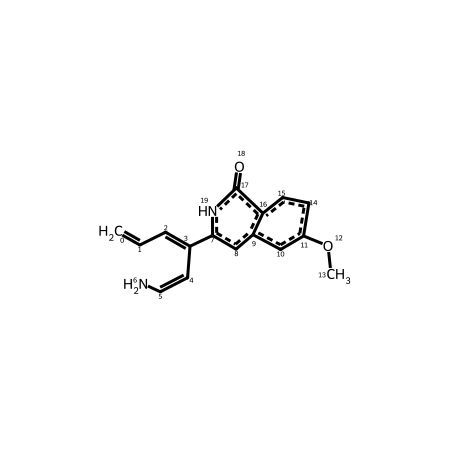 C=C/C=C(\C=C/N)c1cc2cc(OC)ccc2c(=O)[nH]1